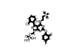 CS(=O)(=O)CCNc1nc(Oc2ccc(F)cc2F)nc2c1c(-c1ccccc1Cl)nn2COP(=O)(O)O